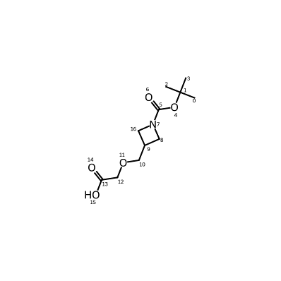 CC(C)(C)OC(=O)N1CC(COCC(=O)O)C1